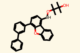 CC(C)(O)C(C)(C)OBc1ccc(-c2cccc(-c3ccccc3)c2)c2oc3ccccc3c12